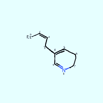 CC/C=C\CC1=CCCN=C1